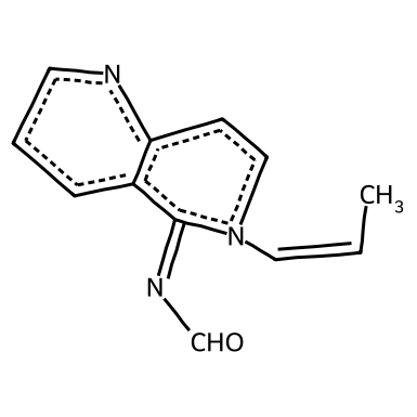 C/C=C\n1ccc2ncccc2/c1=N/C=O